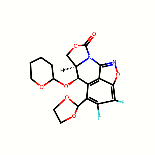 O=C1OC[C@@H]2[C@H](OC3CCCCO3)c3c(C4OCCO4)c(F)c(F)c4onc(c34)N12